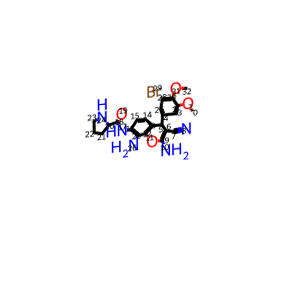 COc1cc(C2C(C#N)=C(N)Oc3c2ccc(NC(=O)C2CCCN2)c3N)cc(Br)c1OC